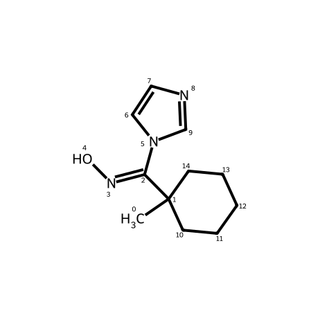 CC1(C(=NO)n2ccnc2)CCCCC1